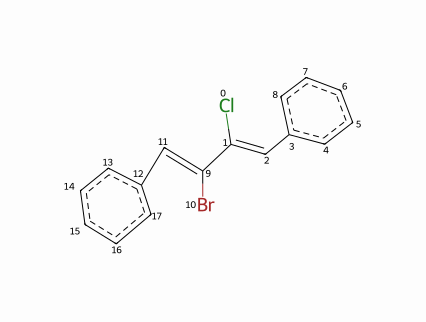 ClC(=Cc1ccccc1)C(Br)=Cc1ccccc1